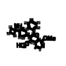 COc1nccc2c(=O)c(-c3ccc(C4(N)CCC4)cc3)c(-c3ccccc3)oc12.Cl